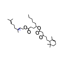 CCCCCC(CCC(=O)OC/C=C(\C)CCC=C(C)C)OC(=O)CC(=O)CCC1C(C)=CCCC1(C)C